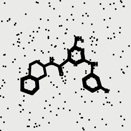 Nc1nc(Nc2cccc(Br)c2)nc(C(=O)NC2CCc3ccccc3C2)n1